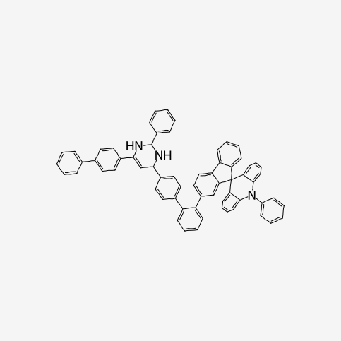 C1=C(c2ccc(-c3ccccc3)cc2)NC(c2ccccc2)NC1c1ccc(-c2ccccc2-c2ccc3c(c2)C2(c4ccccc4-3)c3ccccc3N(c3ccccc3)c3ccccc32)cc1